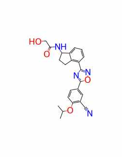 CC(C)Oc1ccc(-c2nc(-c3cccc4c3CCC4NC(=O)CO)no2)cc1C#N